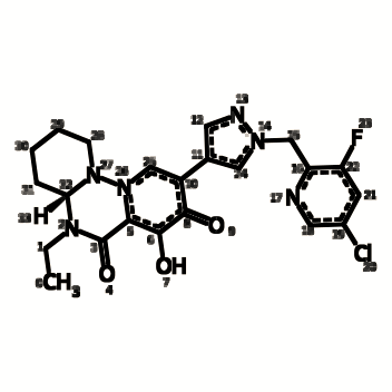 CCN1C(=O)c2c(O)c(=O)c(-c3cnn(Cc4ncc(Cl)cc4F)c3)cn2N2CCCC[C@@H]12